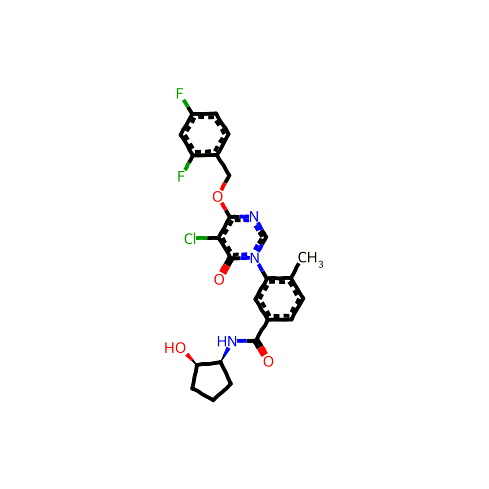 Cc1ccc(C(=O)N[C@H]2CCC[C@H]2O)cc1-n1cnc(OCc2ccc(F)cc2F)c(Cl)c1=O